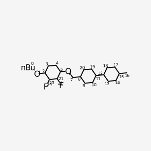 CCCCOC1CCC(OCC2CCC(C3CCC(C)CC3)CC2)C(F)C1F